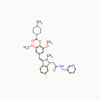 COc1cc(C=C2c3ccc(F)cc3C(CC(=O)NCc3cccnc3)C2C)cc(OC)c1OC(=O)N1CCN(C)CC1